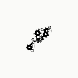 O=C(NCc1cccc(Cl)c1)N[C@@H](Cc1ccccc1)c1nc(-c2ccc3[nH]c(=O)cc(O)c3c2)c[nH]1